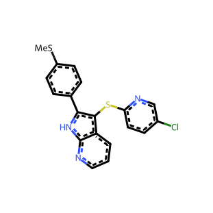 CSc1ccc(-c2[nH]c3ncccc3c2Sc2ccc(Cl)cn2)cc1